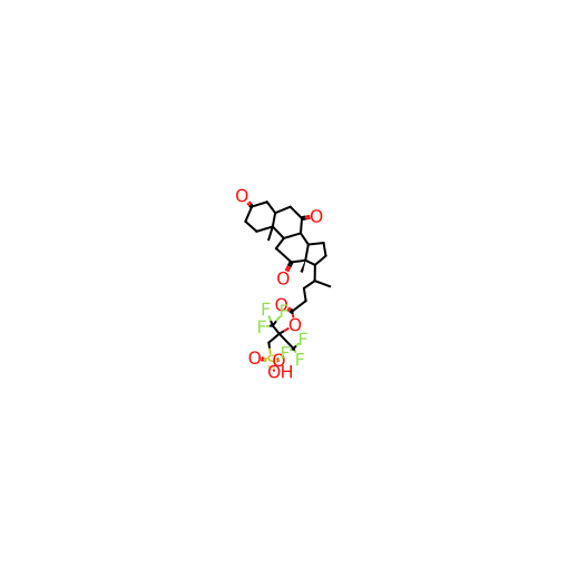 CC(CCC(=O)OC(CS(=O)(=O)O)(C(F)(F)F)C(F)(F)F)C1CCC2C3C(=O)CC4CC(=O)CCC4(C)C3CC(=O)[C@@]12C